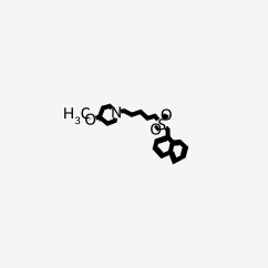 CO[C]1CCN(CCCCCS(=O)(=O)Cc2cccc3ccccc23)CC1